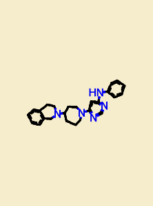 c1ccc(Nc2cc(N3CCCC(N4CCc5ccccc5C4)CC3)ncn2)cc1